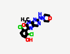 Cn1c(=O)c(-c2c(Cl)ccc(O)c2Cl)nc2cnc(NN3CCOCC3)nc21